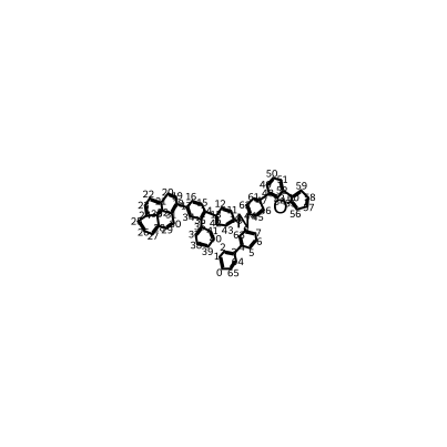 c1ccc(-c2cccc(N(c3ccc(-c4ccc(-c5ccc6ccc7cccc8ccc5c6c78)cc4-c4ccccc4)cc3)c3ccc(-c4cccc5c4oc4ccccc45)cc3)c2)cc1